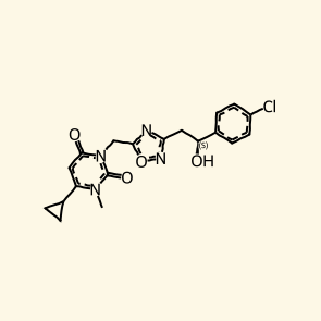 Cn1c(C2CC2)cc(=O)n(Cc2nc(C[C@H](O)c3ccc(Cl)cc3)no2)c1=O